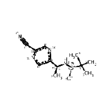 C[C@H](N[S@+]([O-])C(C)(C)C)c1cnc(C#N)cn1